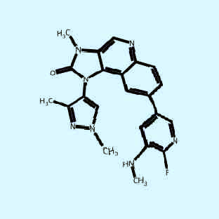 CNc1cc(-c2ccc3ncc4c(c3c2)n(-c2cn(C)nc2C)c(=O)n4C)cnc1F